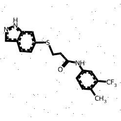 Cc1ccc(NC(=O)CCSc2ccc3cn[nH]c3c2)cc1C(F)(F)F